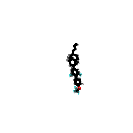 CCCCC1CC[C@@H]2C[C@H](c3cc(F)c(-c4ccc(OC(F)(F)F)cc4)c(F)c3)CC[C@@H]2C1